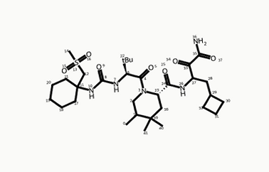 CC1CN(C(=O)[C@@H](NC(=O)NC2(CS(C)(=O)=O)CCCCC2)C(C)(C)C)[C@H](C(=O)NC(CC2CCC2)C(=O)C(N)=O)CC1(C)C